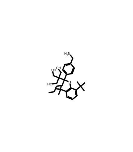 CCCCC(Oc1c(C(C)(C)C)cccc1C(C)(C)C)(c1ccc(CN)cc1)C(CO)(CO)CO